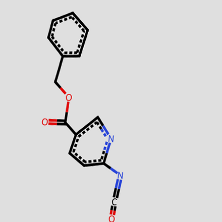 O=C=Nc1ccc(C(=O)OCc2ccccc2)cn1